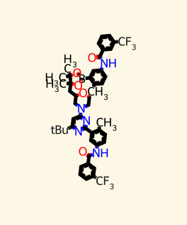 Cc1ccc(NC(=O)c2cccc(C(F)(F)F)c2)cc1B1OC(C)(C)C(C)(CC2CN(c3cc(C(C)(C)C)nc(-c4cc(NC(=O)c5cccc(C(F)(F)F)c5)ccc4C)n3)CCO2)O1